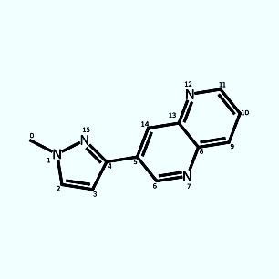 Cn1ccc(-c2cnc3cccnc3c2)n1